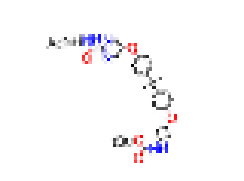 CC(=O)NNC(=O)c1ncc(Oc2ccc(C(C)(C)c3ccc(OC4CC(NC(=O)OC(C)(C)C)C4)cc3)cc2)cn1